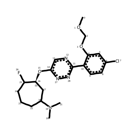 COCOc1cc(Cl)ccc1-c1ncc(O[C@H]2CC(N(C)C)CCCC2F)nn1